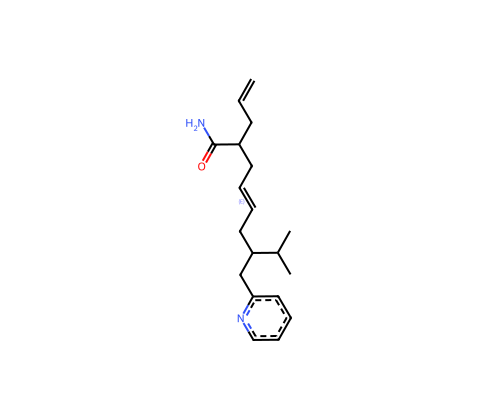 C=CCC(C/C=C/CC(Cc1ccccn1)C(C)C)C(N)=O